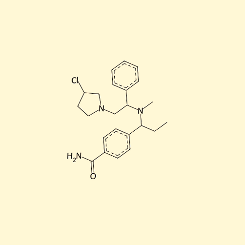 CCC(c1ccc(C(N)=O)cc1)N(C)C(CN1CCC(Cl)C1)c1ccccc1